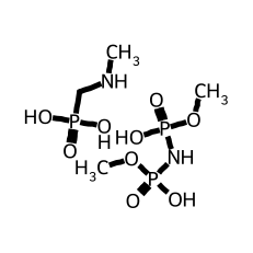 CNCP(=O)(O)O.COP(=O)(O)NP(=O)(O)OC